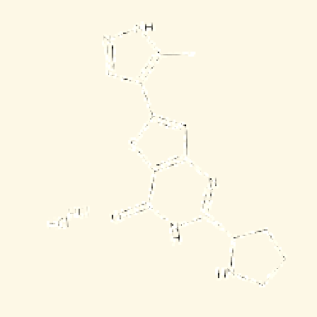 Cc1[nH]ncc1-c1cc2nc([C@@H]3CCCN3)[nH]c(=O)c2s1.Cl.Cl